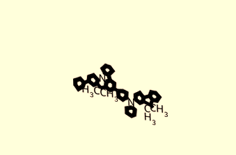 CC1(C)c2ccccc2-c2ccc(N(c3ccccc3)c3ccc(-c4cc5c6c(c4)c4ccccc4n6-c4ccc(-c6ccccc6)cc4C5(C)C)cc3)cc21